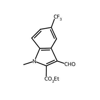 CCOC(=O)c1c(C=O)c2cc(C(F)(F)F)ccc2n1C